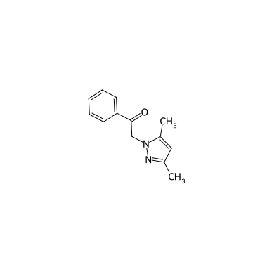 Cc1cc(C)n(CC(=O)c2ccccc2)n1